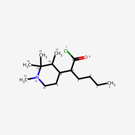 CCCCC(C(=O)Cl)C1CCN(C)C(C)(C)C1C